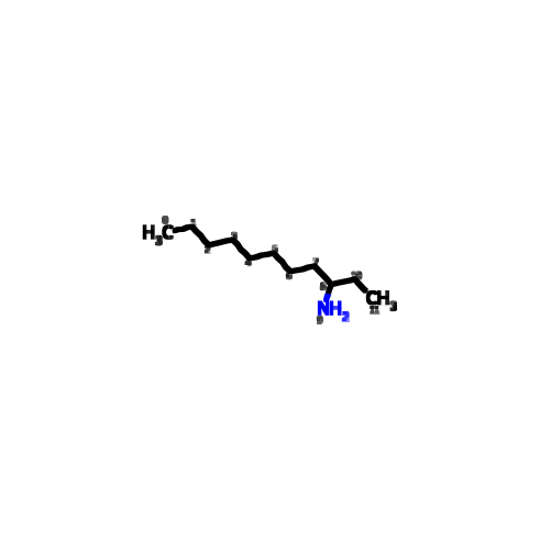 CCCCCCCCC(N)CC